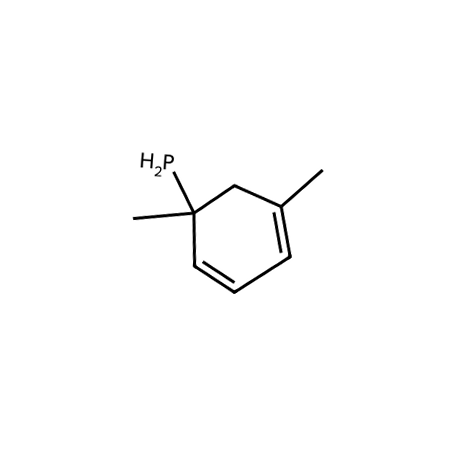 CC1=CC=CC(C)(P)C1